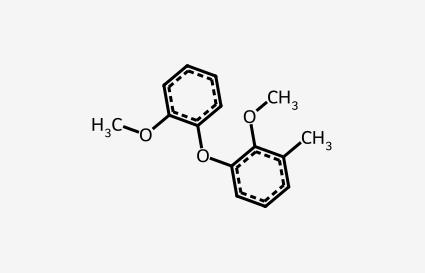 COc1ccccc1Oc1cccc(C)c1OC